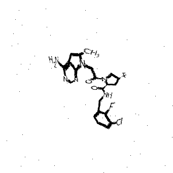 Cc1cc2c(N)ncnc2n1CC(=O)N1C[C@H](F)C[C@H]1C(=O)NCc1cccc(Cl)c1F